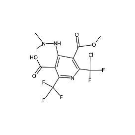 COC(=O)c1c(C(F)(F)Cl)nc(C(F)(F)F)c(C(=O)O)c1NN(C)C